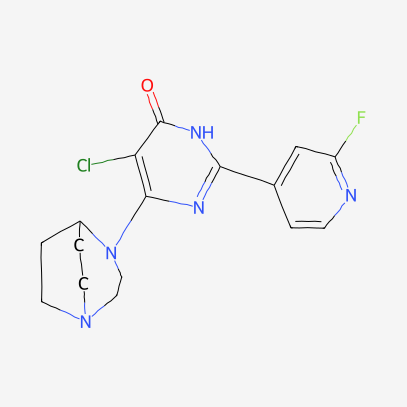 O=c1[nH]c(-c2ccnc(F)c2)nc(N2CCN3CCC2CC3)c1Cl